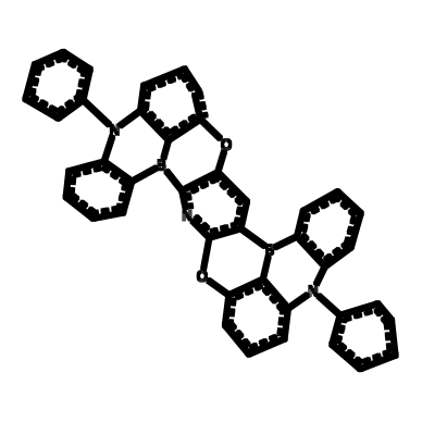 c1ccc(N2c3ccccc3B3c4cc5c(nc4Oc4cccc2c43)B2c3ccccc3N(c3ccccc3)c3cccc(c32)O5)cc1